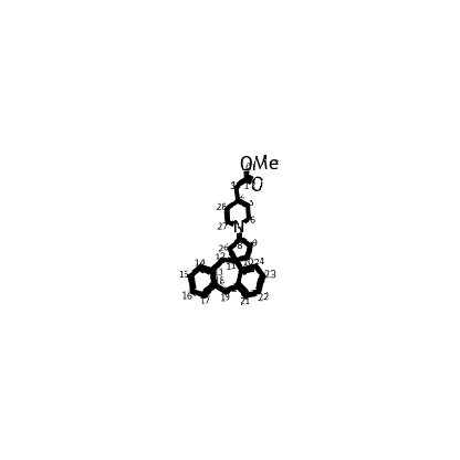 COC(=O)CC1CCN(C2CCC3(Cc4ccccc4Cc4ccccc43)C2)CC1